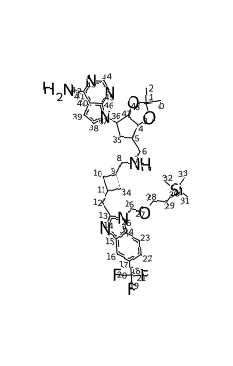 CC1(C)OC2C(CNCC3CC(Cc4nc5cc(C(F)(F)F)ccc5n4COCC[Si](C)(C)C)C3)CC(n3ccc4c(N)ncnc43)C2O1